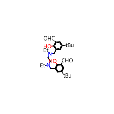 CCN(CCN(CC)Cc1cc(C(C)(C)C)cc(C=O)c1O)Cc1cc(C(C)(C)C)cc(C=O)c1O